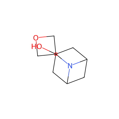 OC1CC2CC(C1)N2C1COC1